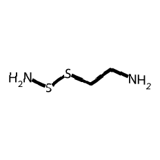 NCCSSN